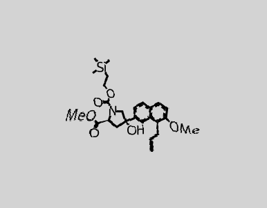 C=CCc1c(OC)ccc2ccc([C@]3(O)C[C@@H](C(=O)OC)N(C(=O)OCC[Si](C)(C)C)C3)cc12